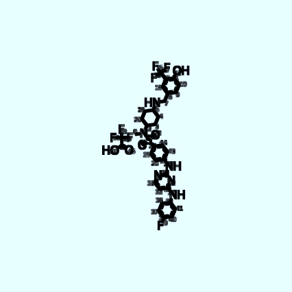 CN(C1CCC(NCc2ccc(O)c(C(F)(F)F)c2)CC1)S(=O)(=O)c1ccc(Nc2nccc(Nc3ccc(F)cc3)n2)cc1.O=C(O)C(F)(F)F